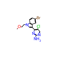 COCCn1cc(-c2nc(N)ncc2Cl)c2cc(Br)ccc21